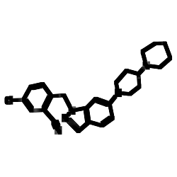 N#Cc1cc(Cl)ccc1Cn1ncc2ccc(N3CCC(N4CCCCC4)CC3)cc21